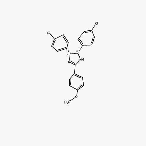 COc1ccc(C2=N[C@H](c3ccc(Cl)cc3)[C@H](c3ccc(Cl)cc3)N2)cc1